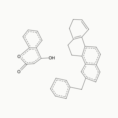 C1=CC2=C(CC1)CCc1c2ccc2ccc(Cc3ccccc3)cc12.O=c1cc(O)c2ccccc2o1